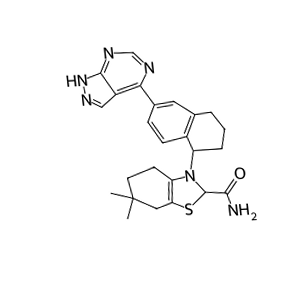 CC1(C)CCC2=C(C1)SC(C(N)=O)N2C1CCCc2cc(-c3ncnc4[nH]ncc34)ccc21